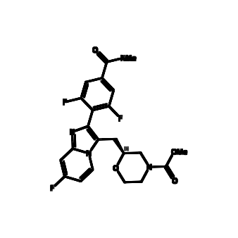 CNC(=O)c1cc(F)c(-c2nc3cc(F)ccn3c2C[C@H]2CN(C(=O)OC)CCO2)c(F)c1